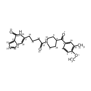 COc1ccc(C(=O)C2CCN(C(=O)CCCc3cn4cncc4c(=O)[nH]3)CC2)cc1C